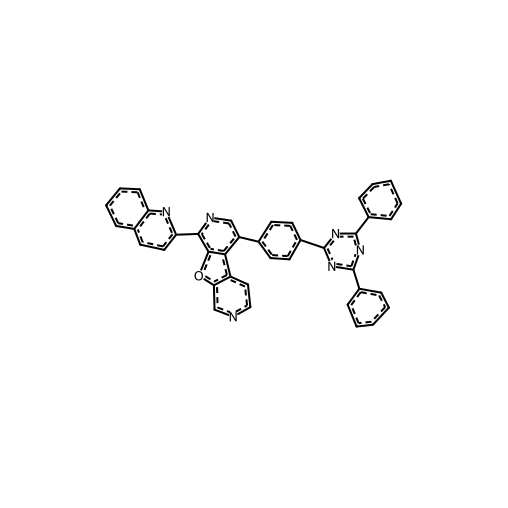 c1ccc(-c2nc(-c3ccccc3)nc(-c3ccc(-c4cnc(-c5ccc6ccccc6n5)c5oc6cnccc6c45)cc3)n2)cc1